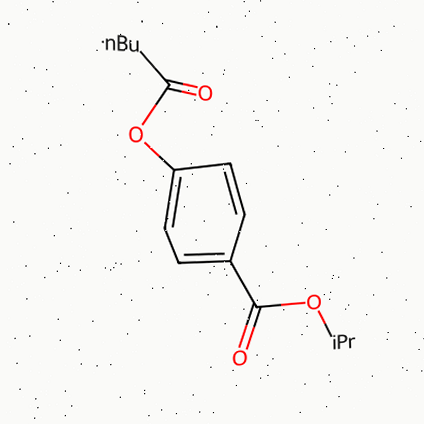 CCC[CH]C(=O)Oc1ccc(C(=O)OC(C)C)cc1